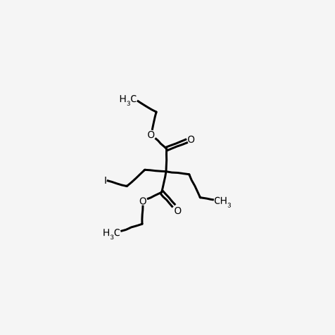 CCCC(CCI)(C(=O)OCC)C(=O)OCC